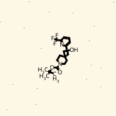 CC(C)(C)OC(=O)N1CCC2(CC1)CC(O)(c1cccc(C(F)(F)F)n1)C2